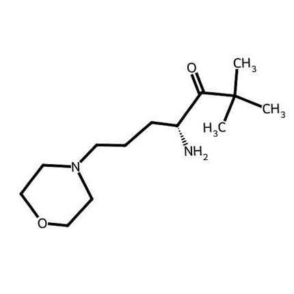 CC(C)(C)C(=O)[C@H](N)CCCN1CCOCC1